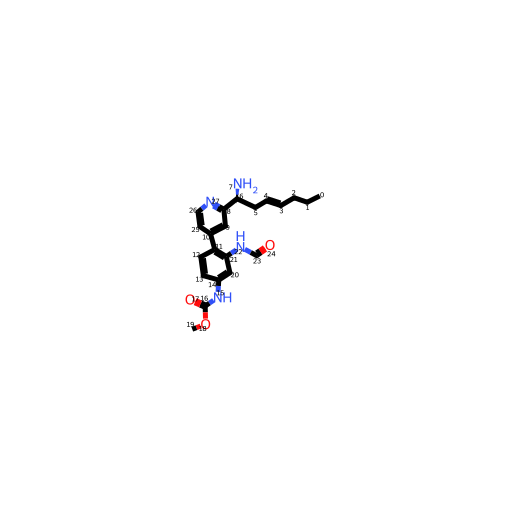 CCC/C=C/C[C@H](N)c1cc(-c2ccc(NC(=O)OC)cc2NC=O)ccn1